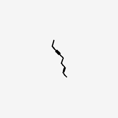 CC=CCCC#CCC